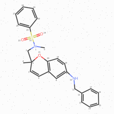 CN(CC1(C)C=Cc2cc(NCc3ccccc3)ccc2O1)S(=O)(=O)c1ccccc1